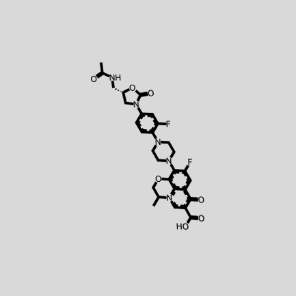 CC(=O)NC[C@H]1CN(c2ccc(N3CCN(c4c(F)cc5c(=O)c(C(=O)O)cn6c5c4OCC6C)CC3)c(F)c2)C(=O)O1